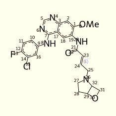 COc1cc2ncnc(Nc3ccc(F)c(Cl)c3)c2cc1NC(=O)/C=C/CN1CCC2OCC21